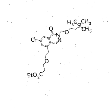 CCOC(=O)CCOCCc1cc(Cl)cc2c(=O)n(COCC[Si](C)(C)C)ncc12